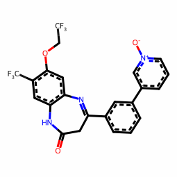 O=C1CC(c2cccc(-c3ccc[n+]([O-])c3)c2)=Nc2cc(OCC(F)(F)F)c(C(F)(F)F)cc2N1